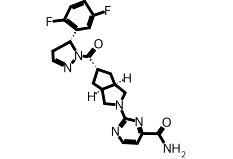 NC(=O)c1ccnc(N2C[C@H]3C[C@H](C(=O)N4N=CC[C@@H]4c4cc(F)ccc4F)C[C@H]3C2)n1